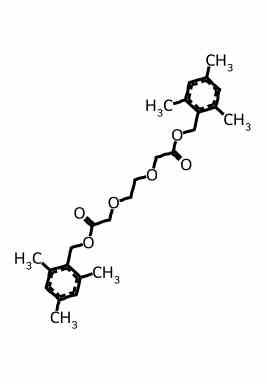 Cc1cc(C)c(COC(=O)COCCOCC(=O)OCc2c(C)cc(C)cc2C)c(C)c1